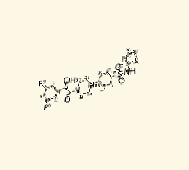 O=C(C(O)c1cc(F)cc(F)c1)N1CCN(c2ccc(S(=O)(=O)Nc3nccs3)cc2)CC1